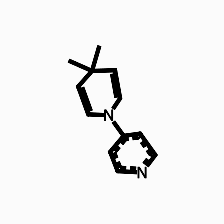 CC1(C)C=CN(c2ccncc2)C=C1